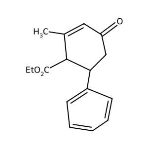 CCOC(=O)C1C(C)=CC(=O)CC1c1ccccc1